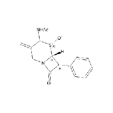 C=C1CN2C(=O)[C@@H](c3ccccc3)[C@H]2[S@@+]([O-])C1NC(C)=O